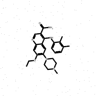 CCOc1cc2ncc(C(N)=O)c(Nc3cccc(C)c3C)c2cc1N1CCN(C)CC1